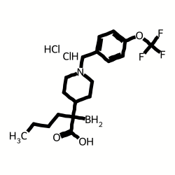 BC(CCCC)(C(=O)O)C1CCN(Cc2ccc(OC(F)(F)F)cc2)CC1.Cl.Cl